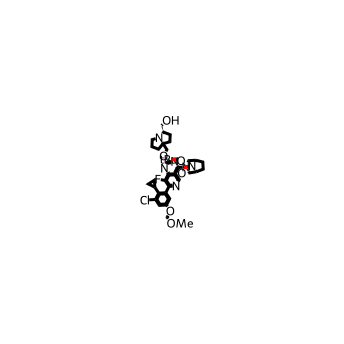 COCOc1cc(Cl)c(C2CC2)c(-c2ncc3c(N4CC5CCC(C4)N5C(=O)OC(C)(C)C)nc(OCC45CCCN4[C@H](CO)CC5)nc3c2F)c1